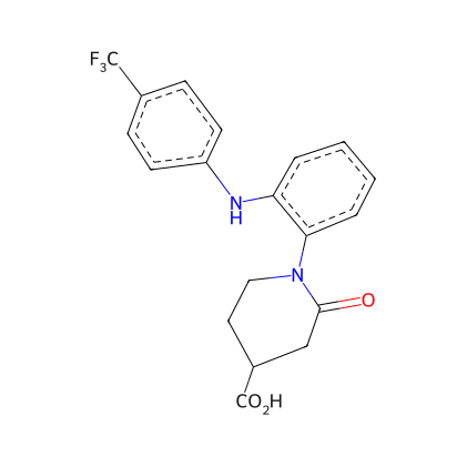 O=C(O)C1CCN(c2ccccc2Nc2ccc(C(F)(F)F)cc2)C(=O)C1